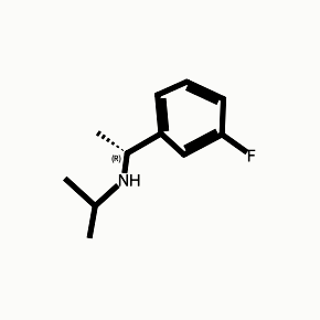 CC(C)N[C@H](C)c1cccc(F)c1